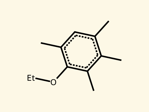 CCOc1c(C)cc(C)c(C)c1C